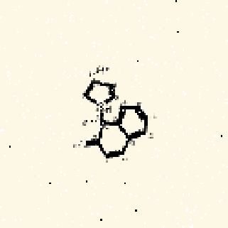 C[C@@]1([SH]2C=CC=C2)C(=O)C=Cc2ccccc21.[H+]